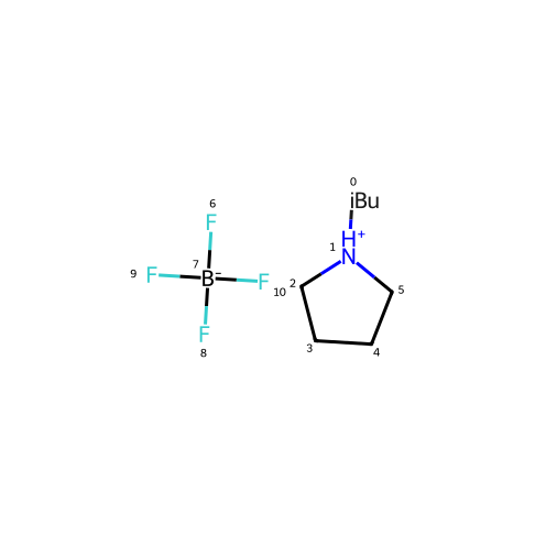 CCC(C)[NH+]1CCCC1.F[B-](F)(F)F